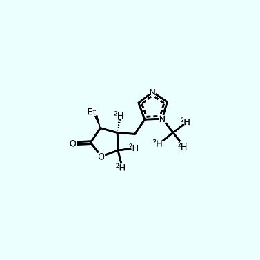 [2H]C([2H])([2H])n1cncc1C[C@]1([2H])[C@H](CC)C(=O)OC1([2H])[2H]